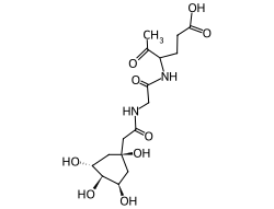 CC(=O)C(CCC(=O)O)NC(=O)CNC(=O)C[C@]1(O)C[C@@H](O)[C@@H](O)[C@H](O)C1